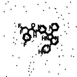 O=C(Nc1cc(-c2[nH]c3c(N4CCNCC4)ccnc3c2-c2ccccn2)ccn1)[C@H](CC(F)F)c1ccc(F)cc1